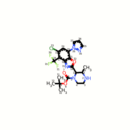 CC1NCCN(C(=O)OC(C)(C)C)C1c1nc2c(C(F)(F)F)c(Cl)cc(-n3cccn3)c2o1